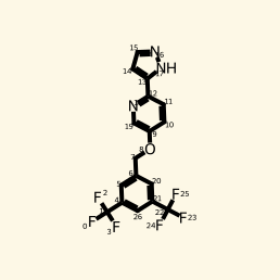 FC(F)(F)c1cc(COc2ccc(-c3ccn[nH]3)nc2)cc(C(F)(F)F)c1